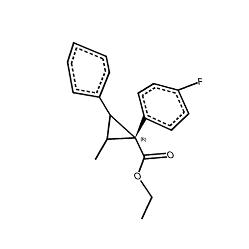 CCOC(=O)[C@]1(c2ccc(F)cc2)C(C)C1c1ccccc1